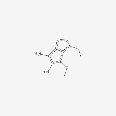 CCn1ccc2c(N)c(N)n(OC)c21